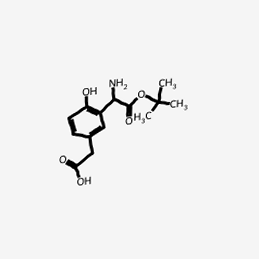 CC(C)(C)OC(=O)C(N)c1cc(CC(=O)O)ccc1O